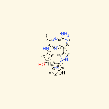 CCc1nc2c(N)ncc(-c3cnn([C@H]4C[C@H]5CC[C@@H](C4)N5C)c3)c2nc1N[C@@H]1CC[C@H](O)C1